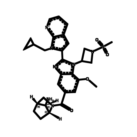 COc1cc(C(=O)N2C[C@H]3CC[C@@H]2[C@@H]3N)cc2nc(-c3cc4cccnc4n3CC3CC3)n(C3CN(S(C)(=O)=O)C3)c12